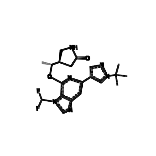 C[C@@H](Oc1nc(-c2cnn(C(C)(C)C)c2)cc2ncn(C(F)F)c12)[C@H]1CNC(=O)C1